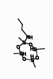 CCCN[Si]1(C)O[SiH](C)O[SiH](C)O[SiH](C)O1